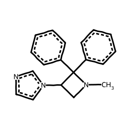 CN1CC(n2ccnc2)C1(c1ccccc1)c1ccccc1